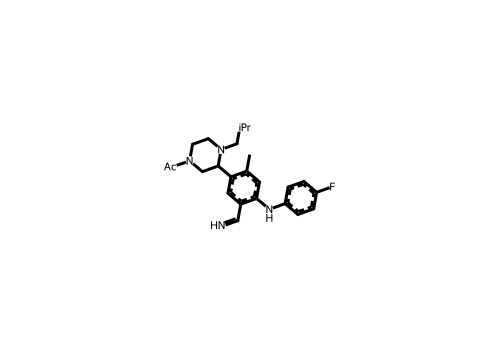 CC(=O)N1CCN(CC(C)C)C(c2cc(C=N)c(Nc3ccc(F)cc3)cc2C)C1